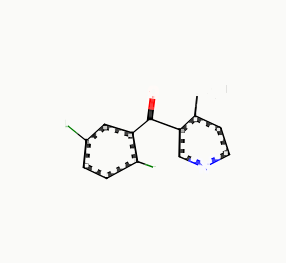 O=C(O)c1ccncc1C(=O)c1cc(Cl)ccc1F